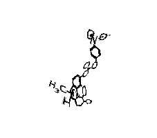 CN1CC[C@]23c4c5ccc(OC(=O)Oc6ccc([N+](=O)[O-])cc6)c4OC2C(=O)CCC3[C@H]1C5